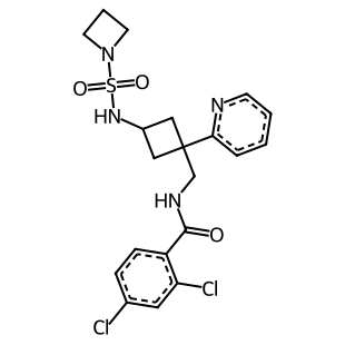 O=C(NCC1(c2ccccn2)CC(NS(=O)(=O)N2CCC2)C1)c1ccc(Cl)cc1Cl